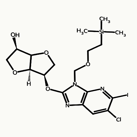 C[Si](C)(C)CCOCn1c(O[C@@H]2COC3[C@H](O)CO[C@@H]32)nc2cc(Cl)c(I)nc21